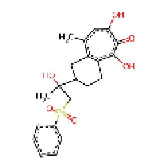 Cc1cc(O)c(=O)c(O)c2c1CC(C(C)(O)CS(=O)(=O)c1ccccc1)CC2